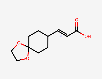 O=C(O)/C=C/C1CCC2(CC1)OCCO2